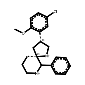 COc1ccc(Cl)cc1[C@@H]1CN[C@]2(CCCNC2c2ccccc2)C1